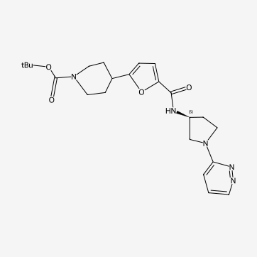 CC(C)(C)OC(=O)N1CCC(c2ccc(C(=O)N[C@H]3CCN(c4cccnn4)C3)o2)CC1